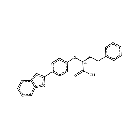 O=C(O)[C@H](CCc1ccccc1)Oc1ccc(-c2cc3ccccc3s2)cc1